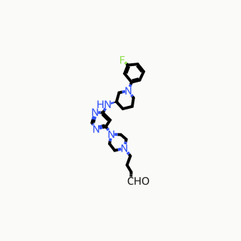 O=CCCCN1CCN(c2cc(N[C@@H]3CCCN(c4cccc(F)c4)C3)ncn2)CC1